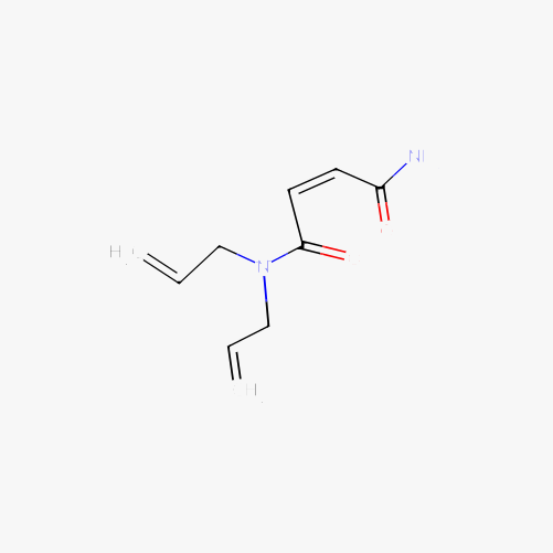 C=CCN(CC=C)C(=O)/C=C\C(N)=O